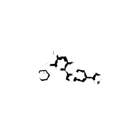 Fc1cc(F)c(-c2cnc3cc(-c4cnn[nH]4)ccn23)nc1N[C@@H]1CNCC[C@H]1F